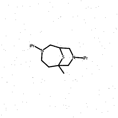 CC(C)N1CCC2(C)CN(C(C)C)CC(C1)S2